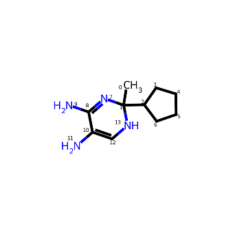 CC1(C2CCCC2)N=C(N)C(N)=CN1